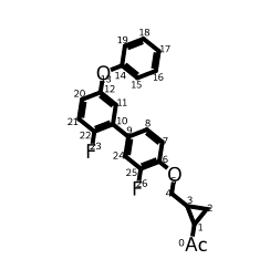 CC(=O)C1CC1COc1ccc(-c2cc(Oc3ccccc3)ccc2F)cc1F